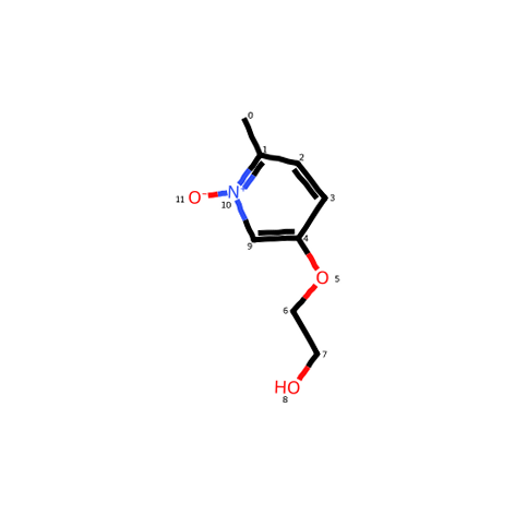 Cc1ccc(OCCO)c[n+]1[O-]